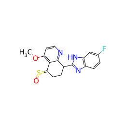 COc1ccnc2c1C(=S=O)CCC2c1nc2ccc(F)cc2[nH]1